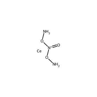 NO[N+](=O)ON.[Ce]